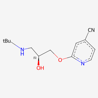 CC(C)(C)NC[C@H](O)COc1cc(C#N)ccn1